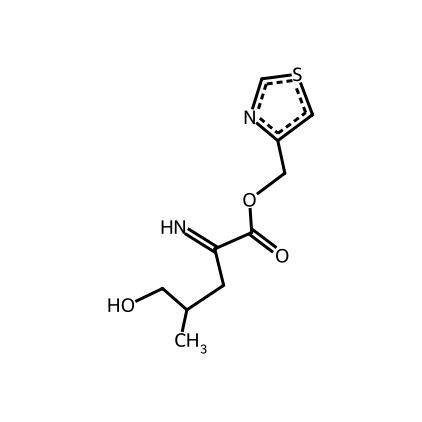 CC(CO)CC(=N)C(=O)OCc1cscn1